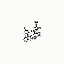 O=C(Nc1ccc(F)nc1)[C@H](Cc1ccccc1)Nc1nc(Nc2cc(C3CC3)[nH]n2)c2cccn2n1